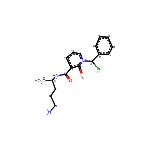 NCCC[C@H](NC(=O)c1cccn(C(Br)c2ccccc2)c1=O)C(=O)O